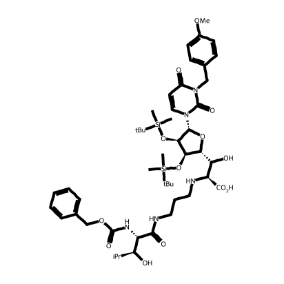 COc1ccc(Cn2c(=O)ccn([C@@H]3O[C@H](C(O)[C@H](NCCCNC(=O)[C@@H](NC(=O)OCc4ccccc4)[C@@H](O)C(C)C)C(=O)O)[C@@H](O[Si](C)(C)C(C)(C)C)[C@H]3O[Si](C)(C)C(C)(C)C)c2=O)cc1